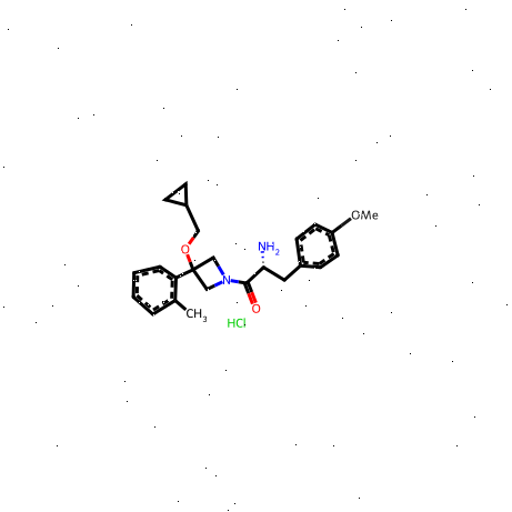 COc1ccc(C[C@@H](N)C(=O)N2CC(OCC3CC3)(c3ccccc3C)C2)cc1.Cl